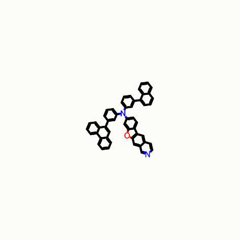 c1cc(-c2cccc3ccccc23)cc(N(c2cccc(-c3cc4ccccc4c4ccccc34)c2)c2ccc3c(c2)oc2cc4cnccc4cc23)c1